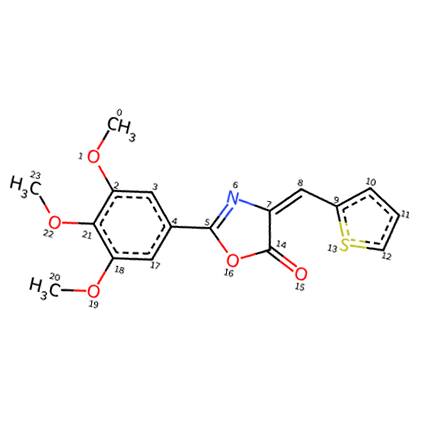 COc1cc(C2=NC(=Cc3cccs3)C(=O)O2)cc(OC)c1OC